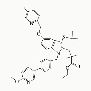 CCOC(=O)C(C)(C)Cc1c(SC(C)(C)C)c2cc(OCc3ccc(C)cn3)ccc2n1Cc1ccc(-c2ccc(OC)nc2)cc1